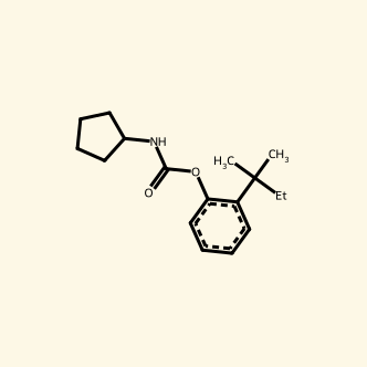 CCC(C)(C)c1ccccc1OC(=O)NC1CCCC1